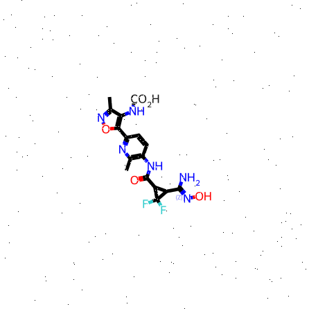 Cc1nc(-c2onc(C)c2NC(=O)O)ccc1NC(=O)C1C(/C(N)=N/O)C1(F)F